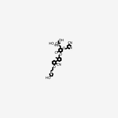 Cc1c(COc2cc(OCc3cncc(C#N)c3)c(CN[C@](C)(CO)C(=O)O)cc2Cl)cccc1-c1cccc(OCCCN2CC[C@H](O)C2)c1C#N